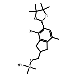 Cc1cc(B2OC(C)(C)C(C)(C)O2)c(Br)c2c1CC(CO[Si](C)(C)C(C)(C)C)C2